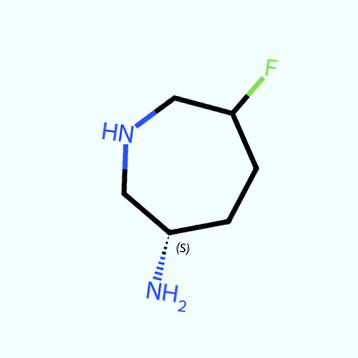 N[C@H]1CCC(F)CNC1